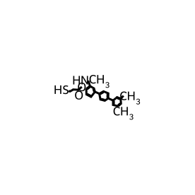 CC(=N)c1cc(-c2ccc(-c3cc(C)cc(C)c3)cc2)ccc1OC(=O)CCS